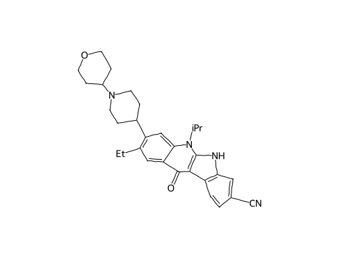 CCc1cc2c(=O)c3c4ccc(C#N)cc4[nH]c3n(C(C)C)c2cc1C1CCN(C2CCOCC2)CC1